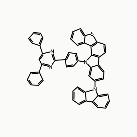 c1ccc(-c2cc(-c3ccccc3)nc(-c3ccc(-n4c5cc(-n6c7ccccc7c7ccccc76)ccc5c5ccc6sc7ccccc7c6c54)cc3)n2)cc1